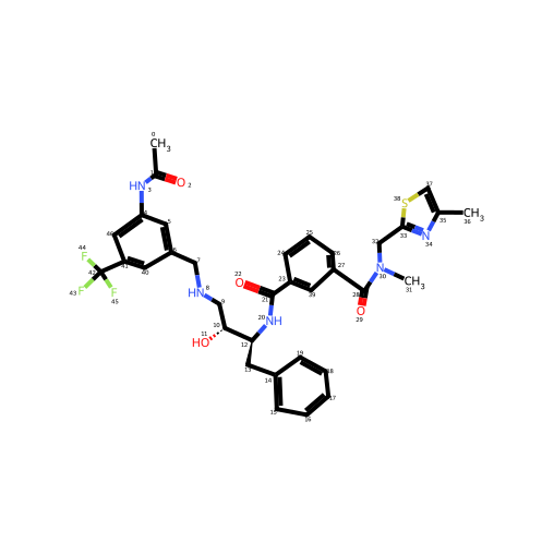 CC(=O)Nc1cc(CNC[C@@H](O)[C@H](Cc2ccccc2)NC(=O)c2cccc(C(=O)N(C)Cc3nc(C)cs3)c2)cc(C(F)(F)F)c1